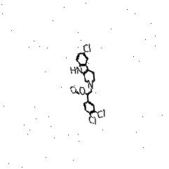 O=COC(CN1CCc2c([nH]c3ccc(Cl)cc23)C1)c1ccc(Cl)c(Cl)c1